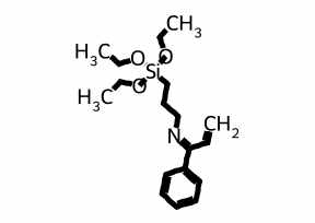 C=CC(=NCCC[Si](OCC)(OCC)OCC)c1ccccc1